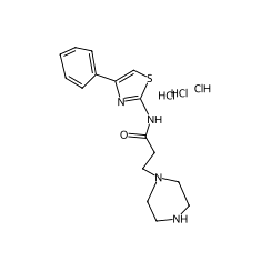 Cl.Cl.Cl.O=C(CCN1CCNCC1)Nc1nc(-c2ccccc2)cs1